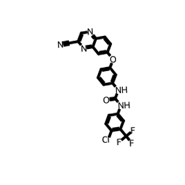 N#Cc1cnc2ccc(Oc3cccc(NC(=O)Nc4ccc(Cl)c(C(F)(F)F)c4)c3)cc2n1